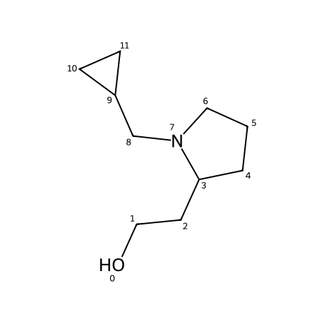 OCCC1CCCN1CC1CC1